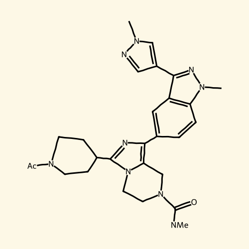 CNC(=O)N1CCn2c(C3CCN(C(C)=O)CC3)nc(-c3ccc4c(c3)c(-c3cnn(C)c3)nn4C)c2C1